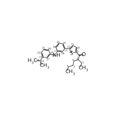 CCCCC(CC)C(=O)c1ccc(-c2cccc(Nc3cccc(C(C)C)c3)c2)s1